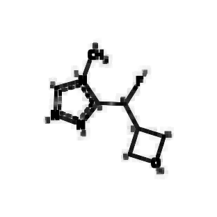 Cn1cnnc1C(F)C1COC1